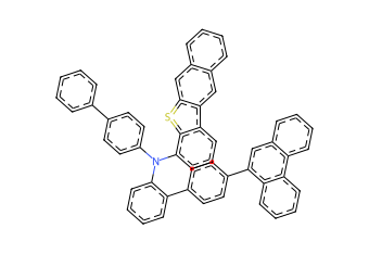 c1ccc(-c2ccc(N(c3ccccc3-c3ccc(-c4cc5ccccc5c5ccccc45)cc3)c3cccc4c3sc3cc5ccccc5cc34)cc2)cc1